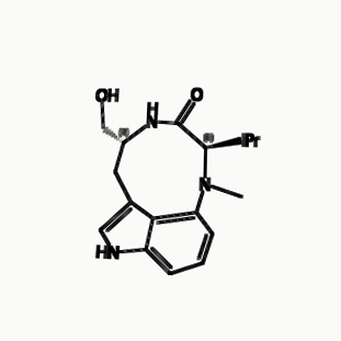 CC(C)[C@@H]1C(=O)N[C@@H](CO)Cc2c[nH]c3cccc(c23)N1C